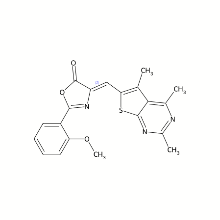 COc1ccccc1C1=N/C(=C\c2sc3nc(C)nc(C)c3c2C)C(=O)O1